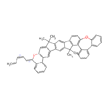 C=C/C=C\C=C1/Oc2cc3c(cc2-c2ccccc21)-c1cc2c(cc1C3(C)C)-c1ccc3c(c1C2(C)C)-c1ccccc1-c1ccccc1O3